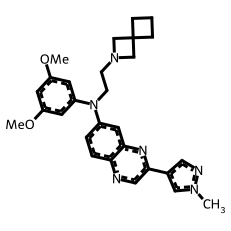 COc1cc(OC)cc(N(CCN2CC3(CCC3)C2)c2ccc3ncc(-c4cnn(C)c4)nc3c2)c1